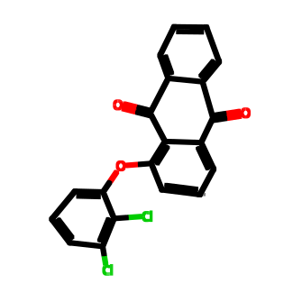 O=C1c2ccccc2C(=O)c2c(Oc3cccc(Cl)c3Cl)c[c]cc21